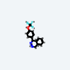 FC(F)(F)Oc1ccc(C2N=NCc3ccccc32)cc1